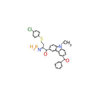 CCn1c2ccc(C(=O)/C(CCSc3ccc(Cl)cc3)=N/P)cc2c2cc(C(=O)c3ccccc3)ccc21